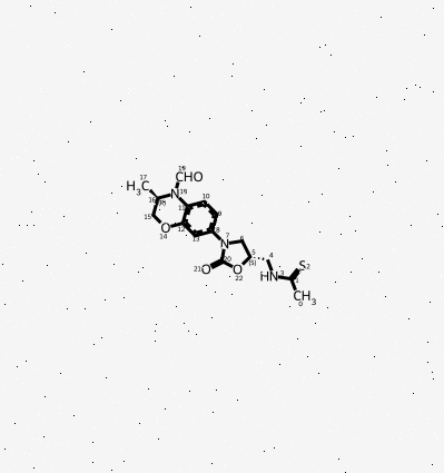 CC(=S)NC[C@H]1CN(c2ccc3c(c2)OC[C@@H](C)N3C=O)C(=O)O1